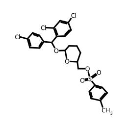 Cc1ccc(S(=O)(=O)OCC2CCCC(OC(c3ccc(Cl)cc3)c3ccc(Cl)cc3Cl)O2)cc1